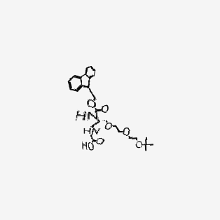 CC(C)(C)OCCOCCOC[C@H](CNCC(=O)O)NC(=O)OCC1c2ccccc2-c2ccccc21